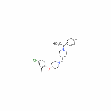 Cc1ccc(C(C(=O)O)N2CCC(CN3CCC(Oc4ccc(Cl)cc4C)CC3)CC2)cc1